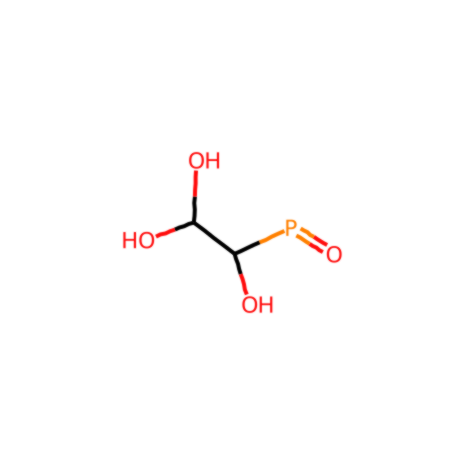 O=PC(O)C(O)O